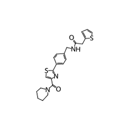 O=C(Cc1cccs1)NCc1ccc(-c2nc(C(=O)N3CCCCC3)cs2)cc1